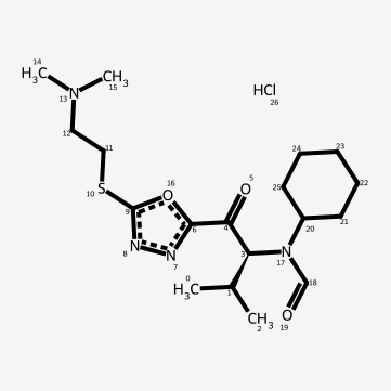 CC(C)[C@@H](C(=O)c1nnc(SCCN(C)C)o1)N(C=O)C1CCCCC1.Cl